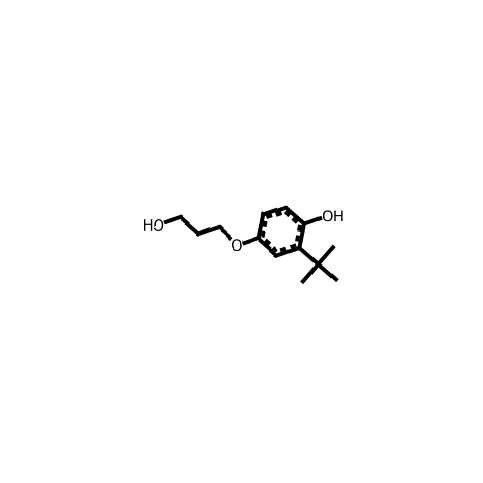 CC(C)(C)c1cc(OCCCO)ccc1O